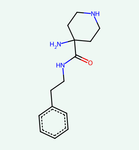 NC1(C(=O)NCCc2ccccc2)CCNCC1